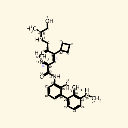 C=C(CN[C@@H](C)CO)/C(=C\C(=N/C)C(=O)Nc1cccc(-c2cccc(NC)c2C)c1C)C1CCC1